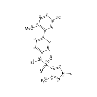 CCN(c1ccc(-c2cc(Cl)cnc2OC)cc1)S(=O)(=O)c1cn(C)nc1C(F)(F)F